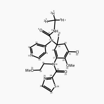 [2H]C([2H])([2H])NC(=O)N(c1ccncc1)C1(F)C=C(N(CCOC)C(=O)c2nccs2)C(OC)=C(Cl)C1